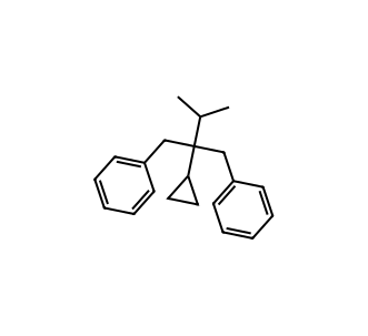 CC(C)C(Cc1ccccc1)(Cc1ccccc1)C1CC1